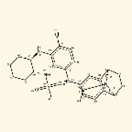 CC(C)N1CC2CCC(C1)c1cc(Nc3ncc(Cl)c(N[C@@H]4CCCC[C@H]4NS(C)(=O)=O)n3)ccc12